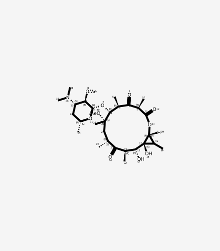 CO[C@H]1[C@H](O[C@@H]2[C@@H](C)C(=O)[C@@H](C)C(=O)O[C@@H]3C(C)[C@]3(O)[C@H](O)[C@@H](C)C(=O)[C@H](C)C[C@]2(C)OC)O[C@H](C)C[C@@H]1N(C)C